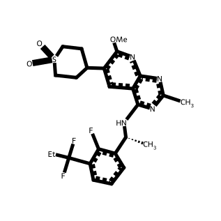 CCC(F)(F)c1cccc([C@@H](C)Nc2nc(C)nc3nc(OC)c(C4CCS(=O)(=O)CC4)cc23)c1F